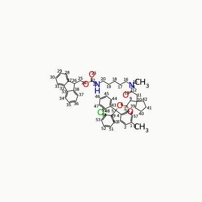 Cc1ccc(C(OC(=O)CC2(CC(=O)N(C)CCCCCNC(=O)OCC3c4ccccc4-c4ccccc43)CCCC2)(c2ccccc2)c2ccccc2Cl)cc1